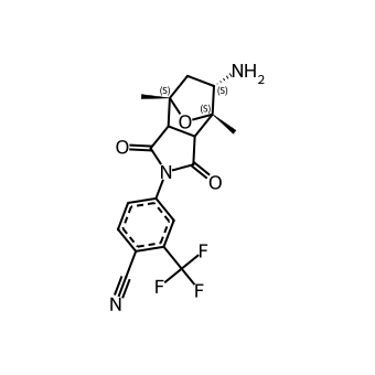 C[C@@]12O[C@@](C)(C[C@@H]1N)C1C(=O)N(c3ccc(C#N)c(C(F)(F)F)c3)C(=O)C12